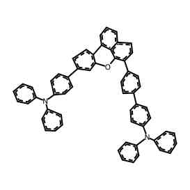 c1ccc(N(c2ccccc2)c2ccc(-c3ccc(-c4ccc5cccc6c5c4Oc4cc(-c5ccc(N(c7ccccc7)c7ccccc7)cc5)ccc4-6)cc3)cc2)cc1